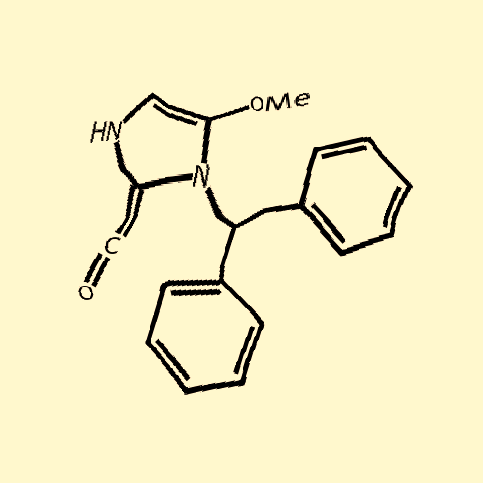 COC1=CNC(=C=O)N1C(c1ccccc1)c1ccccc1